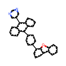 c1ccc2c(c1)oc1c(-c3ccc(-c4c5ccccc5c(-c5cncnc5)c5ccccc45)cc3)cccc12